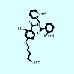 CCCCCCCCCCCCCCOc1ccc(C(=O)N(Cc2cccc[n+]2CCC)C(=O)c2ccccc2OC)c(C)c1.[I-]